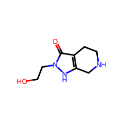 O=c1c2c([nH]n1CCO)CNCC2